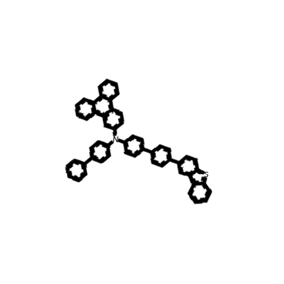 c1ccc(-c2ccc(N(c3ccc(-c4ccc(-c5ccc6sc7ccccc7c6c5)cc4)cc3)c3ccc4c5ccccc5c5ccccc5c4c3)cc2)cc1